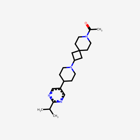 CC(=O)N1CCC2(CC1)CC(N1CCC(c3cnc(C(C)C)nc3)CC1)C2